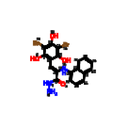 NNC(=O)C(=Cc1c(O)c(Br)c(O)c(Br)c1O)Nc1cccc2ccccc12